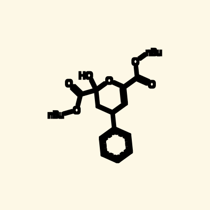 CCCCOC(=O)C1=CC(c2ccccc2)CC(O)(C(=O)OCCCC)O1